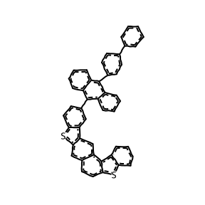 c1ccc(-c2ccc(-c3c4ccccc4c(-c4ccc5sc6cc7ccc8sc9ccccc9c8c7cc6c5c4)c4ccccc34)cc2)cc1